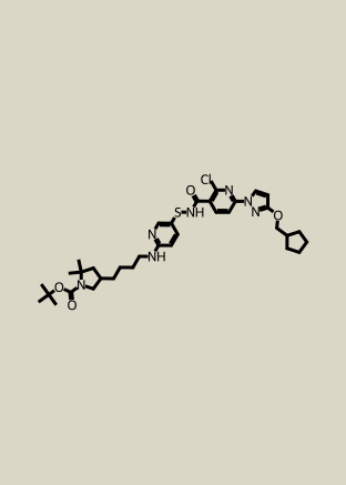 CC(C)(C)OC(=O)N1CC(CCCCNc2ccc(SNC(=O)c3ccc(-n4ccc(OCC5CCCC5)n4)nc3Cl)cn2)CC1(C)C